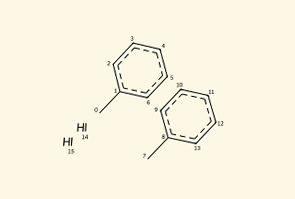 Cc1ccccc1.Cc1ccccc1.I.I